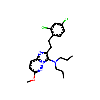 CCCN(CCC)c1c(CCc2ccc(Cl)cc2Cl)nc2ccc(OC)nn12